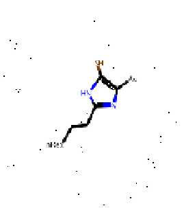 CCCCCCCCc1nc(C(C)=O)c(S)[nH]1